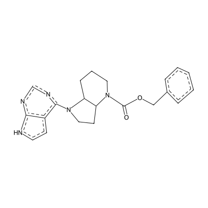 O=C(OCc1ccccc1)N1CCCC2C1CCN2c1ncnc2[nH]ccc12